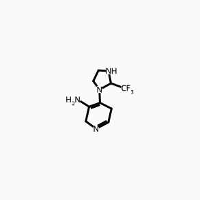 NC1=C(N2CCNC2C(F)(F)F)CC=NC1